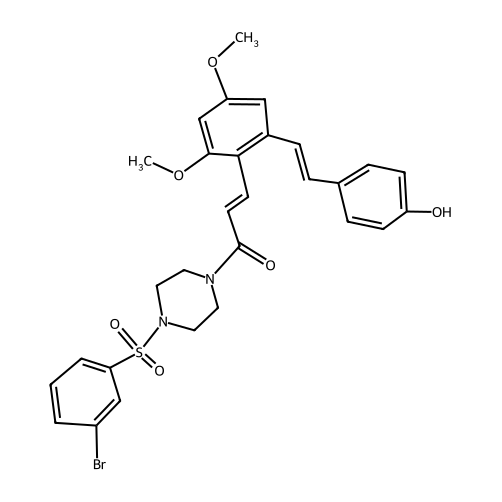 COc1cc(/C=C/c2ccc(O)cc2)c(/C=C/C(=O)N2CCN(S(=O)(=O)c3cccc(Br)c3)CC2)c(OC)c1